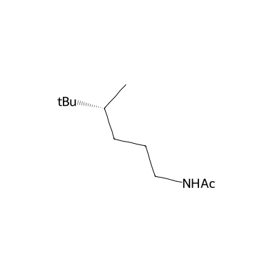 CC(=O)NCCC[C@@H](C)C(C)(C)C